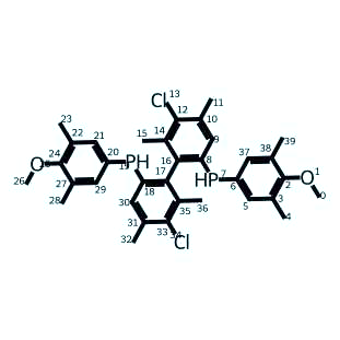 COc1c(C)cc(Pc2cc(C)c(Cl)c(C)c2-c2c(Pc3cc(C)c(OC)c(C)c3)cc(C)c(Cl)c2C)cc1C